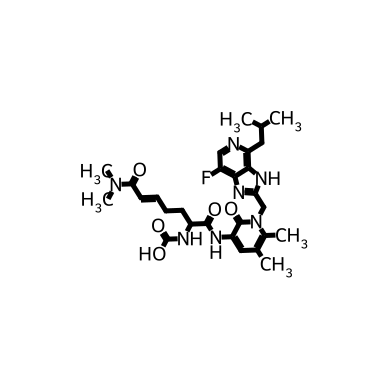 Cc1cc(NC(=O)C(CCC=CC(=O)N(C)C)NC(=O)O)c(=O)n(Cc2nc3c(F)cnc(CC(C)C)c3[nH]2)c1C